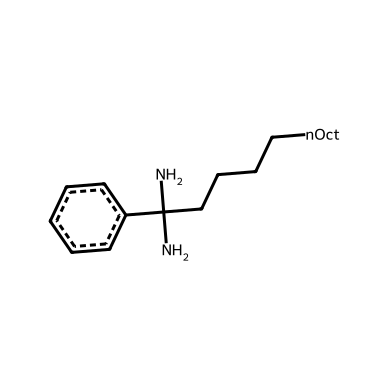 CCCCCCCCCCCCC(N)(N)c1ccccc1